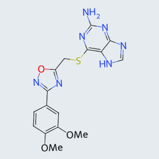 COc1ccc(-c2noc(CSc3nc(N)nc4nc[nH]c34)n2)cc1OC